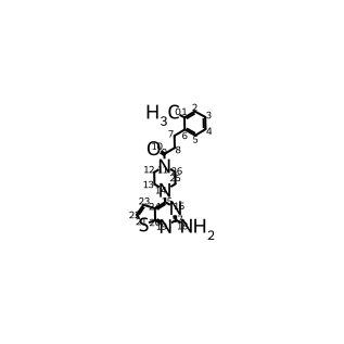 Cc1ccccc1CCC(=O)N1CCN(c2nc(N)nc3sccc23)CC1